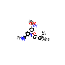 COc1ccc([C@H]2CC[C@H](CN(c3cccc(-c4cnn(C(C)C)c4)c3)C(=O)[C@H]3CC[C@H](CNS(=O)(=O)C(C)C)CC3)CC2)cc1C